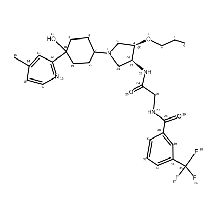 CCCO[C@@H]1CN(C2CCC(O)(c3cc(C)ccn3)CC2)C[C@@H]1NC(=O)CNC(=O)c1cccc(C(F)(F)F)c1